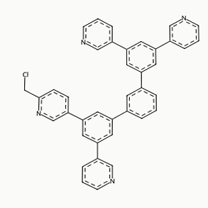 ClCc1ccc(-c2cc(-c3cccnc3)cc(-c3cccc(-c4cc(-c5cccnc5)cc(-c5cccnc5)c4)c3)c2)cn1